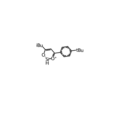 CCC(C)C1=CC(c2ccc(C(C)(C)C)cc2)=[O+][SiH-]O1